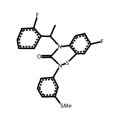 CSc1cccc(N2Sc3cc(F)ccc3N(C(C)c3ccccc3F)C2=O)c1